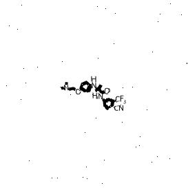 CN(C)CCOc1ccc(NC(C)(C)C(=O)Nc2ccc(C#N)c(C(F)(F)F)c2)cc1